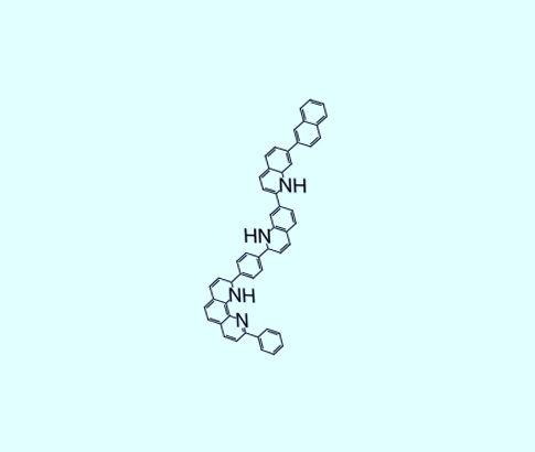 C1=CC2=CC=C(c3ccc4c(c3)NC(c3ccc(C5C=Cc6ccc7ccc(-c8ccccc8)nc7c6N5)cc3)C=C4)NC2C=C1c1ccc2ccccc2c1